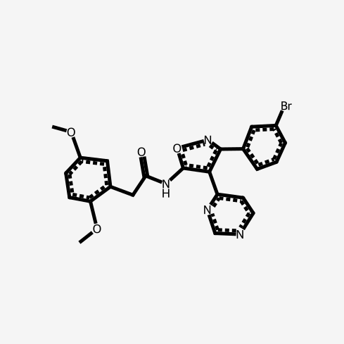 COc1ccc(OC)c(CC(=O)Nc2onc(-c3cccc(Br)c3)c2-c2ccncn2)c1